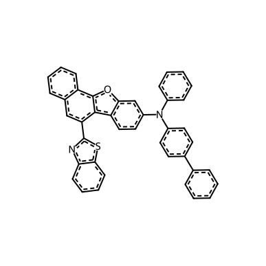 c1ccc(-c2ccc(N(c3ccccc3)c3ccc4c(c3)oc3c5ccccc5cc(-c5nc6ccccc6s5)c43)cc2)cc1